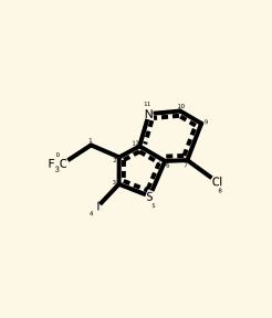 FC(F)(F)Cc1c(I)sc2c(Cl)ccnc12